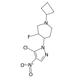 O=[N+]([O-])c1cnn(C2CCN(C3CCC3)CC2F)c1Cl